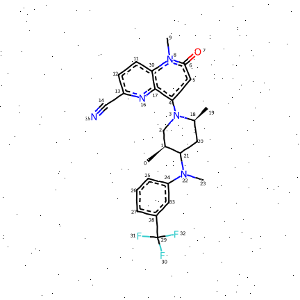 C[C@H]1CN(c2cc(=O)n(C)c3ccc(C#N)nc23)[C@@H](C)CC1N(C)c1cccc(C(F)(F)F)c1